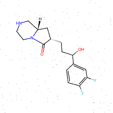 O=C1[C@@H](CCC(O)c2ccc(F)c(F)c2)C[C@H]2CNCCN12